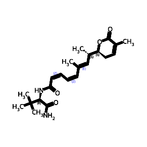 CC1=CC[C@@H]([C@@H](C)/C=C(C)/C=C\C=C/C(=O)N[C@@H](C(N)=O)C(C)(C)C)OC1=O